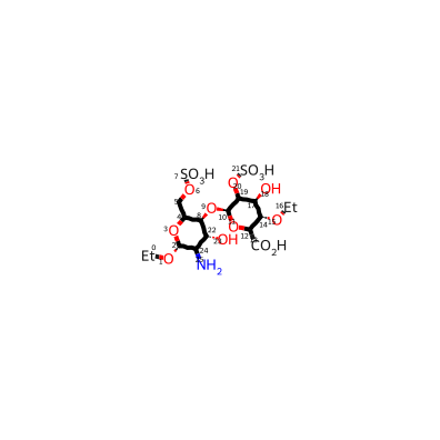 CCO[C@@H]1OC(COS(=O)(=O)O)[C@@H](O[C@@H]2OC(C(=O)O)[C@@H](OCC)[C@H](O)C2OS(=O)(=O)O)[C@H](O)C1N